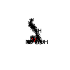 COc1ccc(C(OCC2CN(C(=O)CCCCCNC(=O)OC3CC[C@@]4(C)C(=CCC5C6CC[C@H](C(C)CCCC(C)C)[C@@]6(C)CC[C@@H]54)C3)CC2OC(=O)CCC(=O)O)(c2ccccc2)c2ccc(OCN=[N+]=[N-])cc2)cc1